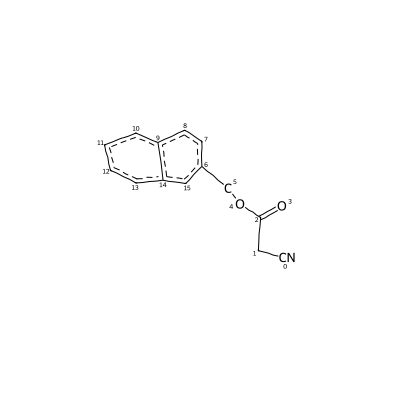 N#CCC(=O)OCc1ccc2ccccc2c1